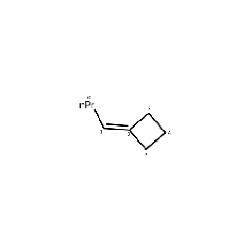 [CH2]CCC=C1CCC1